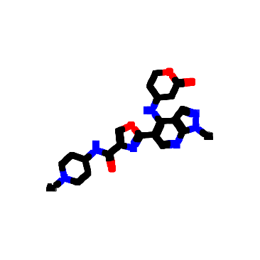 CCn1ncc2c(NC3CCOC(=O)C3)c(-c3nc(C(=O)NC4CCN(C(C)=O)CC4)co3)cnc21